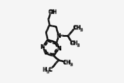 CC(C)c1cnc2c(n1)N(C(C)C)CC(CO)C2